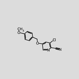 COc1ccc(COc2cnc(C#N)c(Cl)c2)cc1